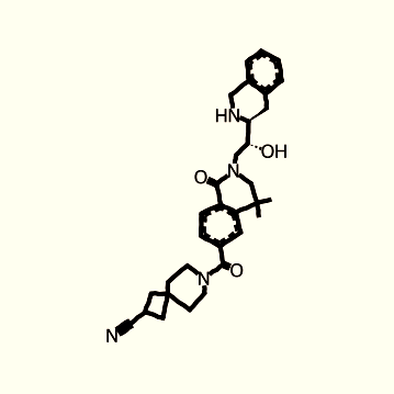 CC1(C)CN(C[C@@H](O)[C@@H]2Cc3ccccc3CN2)C(=O)c2ccc(C(=O)N3CCC4(CC3)CC(C#N)C4)cc21